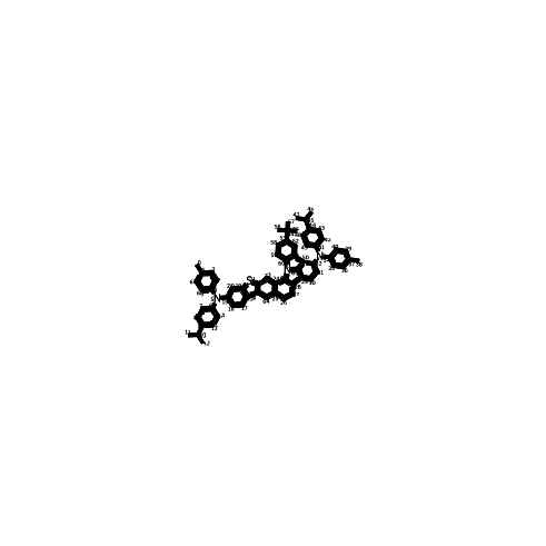 Cc1ccc(N(c2ccc(C(C)C)cc2)c2ccc3c(c2)sc2cc4c(ccc5c6ccc(N(c7ccc(C)cc7)c7ccc(C(C)C)cc7)c7c8cc(C(C)(C)C)ccc8n(c45)c67)cc23)cc1